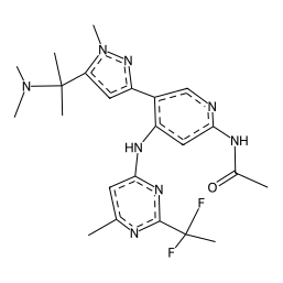 CC(=O)Nc1cc(Nc2cc(C)nc(C(C)(F)F)n2)c(-c2cc(C(C)(C)N(C)C)n(C)n2)cn1